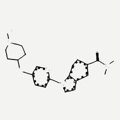 CC(C)N1CCC(Oc2ccc(-n3ccc4cc(C(=O)N(C)C)ccc43)nc2)CC1